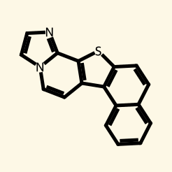 c1ccc2c(c1)ccc1sc3c(ccn4ccnc34)c12